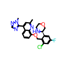 Cc1cc(-c2ncnn2C)c2cccc(OCc3c(Cl)cc(F)cc3[C@@H]3COCCN3)c2n1